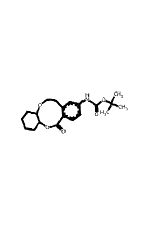 CC(C)(C)OC(=O)Nc1ccc2c(c1)CCOC1CCCCC1OC2=O